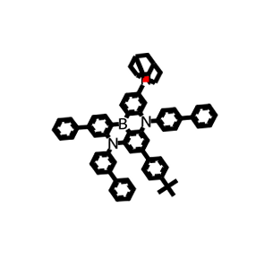 CC(C)(C)c1ccc(-c2cc3c4c(c2)N(c2ccc(-c5ccccc5)cc2)c2cc(N5C6CC7CC(C6)CC5C7)ccc2B4c2ccc(-c4ccccc4)cc2N3c2cccc(-c3ccccc3)c2)cc1